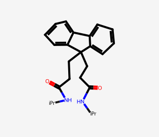 CC(C)NC(=O)CCC1(CCC(=O)NC(C)C)c2ccccc2-c2ccccc21